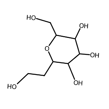 OCCC1OC(CO)C(O)C(O)C1O